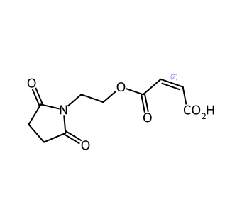 O=C(O)/C=C\C(=O)OCCN1C(=O)CCC1=O